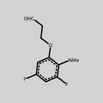 CNc1c(F)cc(F)cc1OCCC=O